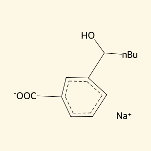 CCCCC(O)c1cccc(C(=O)[O-])c1.[Na+]